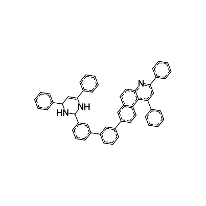 C1=C(c2ccccc2)NC(c2cccc(-c3cccc(-c4ccc5c(ccc6nc(-c7ccccc7)cc(-c7ccccc7)c65)c4)c3)c2)NC1c1ccccc1